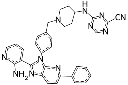 N#Cc1ncnc(NC2CCN(Cc3ccc(-n4c(-c5cccnc5N)nc5ccc(-c6ccccc6)nc54)cc3)CC2)n1